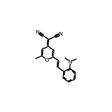 CC1=CC(=C(C#N)C#N)C=C(/C=C/c2ccccc2N(C)C)O1